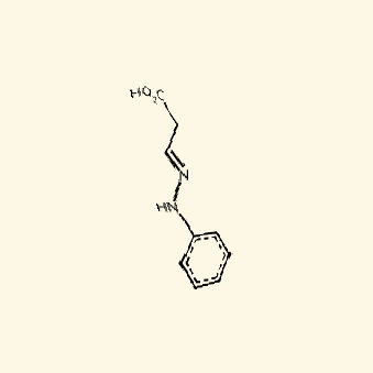 O=C(O)CC=NNc1ccccc1